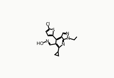 CCn1ncc2c(-c3ccc(Cl)s3)c(C=NO)c(C3CC3)nc21